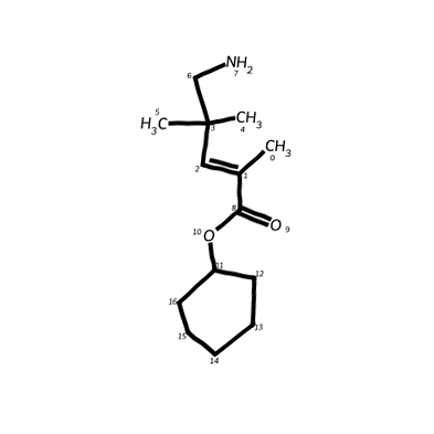 CC(=CC(C)(C)CN)C(=O)OC1CCCCC1